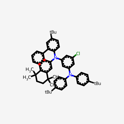 CC(C)(C)c1ccc(N(c2ccc(C(C)(C)C)cc2)c2cc(Cl)cc(N(c3ccc4c(c3)C(C)(C)CCC4(C)C)c3ccc(C(C)(C)C)cc3-c3ccccc3)c2)cc1